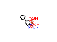 NC1(N)C=CC(c2ccccc2)=CC1(S(=O)(=O)O)S(=O)(=O)O